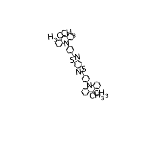 CC1(C)c2ccccc2N(c2ccc(-c3nc4cc5sc(-c6ccc(N7c8ccccc8C(C)(C)c8ccccc87)cc6)nc5cc4s3)cc2)c2ccccc21